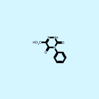 O=C(O)c1n[nH]c(=O)n(-c2ccccc2)c1=O